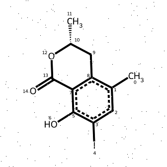 Cc1cc(I)c(O)c2c1C[C@@H](C)OC2=O